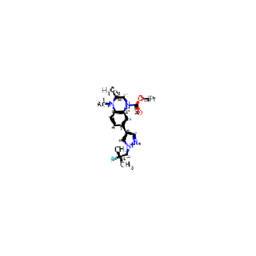 CC(=O)N1c2ccc(-c3cnn(CC(C)(C)F)c3)cc2N(C(=O)OC(C)C)C[C@@H]1C